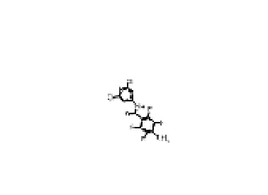 Cc1c(F)c(F)c(C(=O)Nc2cc(Cl)nc(Cl)c2)c(F)c1F